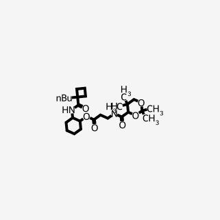 CCCCC1(C(=O)NC2CCCCC2OC(=O)CCNC(=O)C2OC(C)(C)OCC2(C)C)CCC1